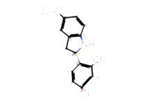 Cc1ccc2c(c1)C[C@H](c1ccc(Br)cc1C)N2